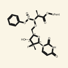 CCCCCOC(=O)[C@H](C)N(OC[C@H]1O[C@@H](n2ccc(=O)[nH]c2=O)[C@](C)(F)[C@@H]1O)[PH](=O)Oc1ccccc1